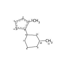 Cc1ccsc1C1CCCC(C)C1